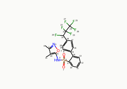 Cc1noc(NS(=O)(=O)c2ccccc2-c2ccc(C(F)C(F)(F)C(F)(F)F)cc2)c1C